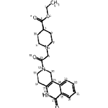 CCOC(=O)C1CCN(CC(=O)N2CCc3[nH]c(=O)c4ccccc4c3C2)CC1